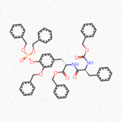 O=C(N[C@@H](Cc1ccccc1)C(=O)N[C@@H](Cc1ccc(OP(=O)(OCc2ccccc2)OCc2ccccc2)c(OCc2ccccc2)c1)C(=O)OCc1ccccc1)OCc1ccccc1